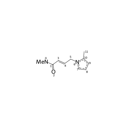 CNC(=O)/C=C/Cn1cccc1C